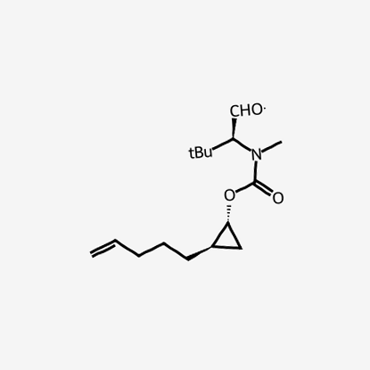 C=CCCC[C@@H]1C[C@H]1OC(=O)N(C)[C@H]([C]=O)C(C)(C)C